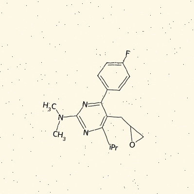 CC(C)c1nc(N(C)C)nc(-c2ccc(F)cc2)c1CC1CO1